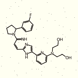 N=C(/C=C\c1ncc(-c2cccc(N(CCO)CCO)n2)[nH]1)N1CCCC1c1cccc(F)c1